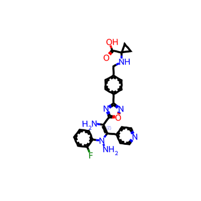 N/C(=C(/c1ccncc1)N(N)c1ccccc1F)c1nc(-c2ccc(CNC3(C(=O)O)CC3)cc2)no1